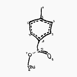 Cc1ccc([S@](=O)OC(C)(C)C)cc1